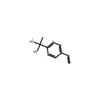 C=Cc1ccc(C(C)(O)CCC)cc1